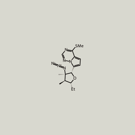 CC[C@H]1O[C@@H](c2ccc3c(SC)ncnn23)[C@](C)(N=[N+]=[N-])[C@@H]1C